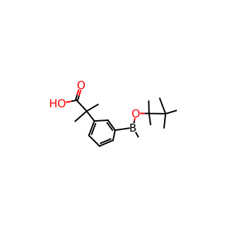 CB(OC(C)(C)C(C)(C)C)c1cccc(C(C)(C)C(=O)O)c1